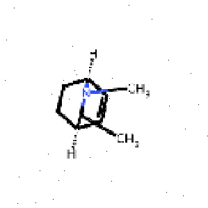 CC1[C@H]2C=C[C@H](CC2)N1C